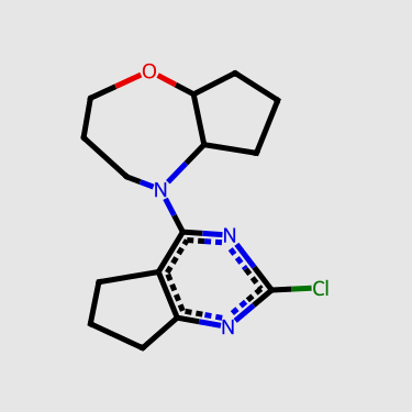 Clc1nc2c(c(N3CCCOC4CCCC43)n1)CCC2